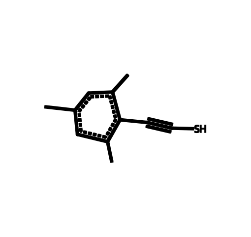 Cc1cc(C)c(C#CS)c(C)c1